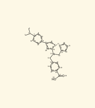 CC(C)c1ccc(-c2csc(N(Cc3ccc(C(=O)O)cc3)Cc3cccs3)n2)cc1